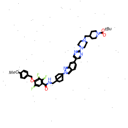 COc1ccc(COc2c(F)cc(C(=O)NCC34CCC(n5cc6ccc(-c7cnc(N8CCN(CC9CCN(C(=O)OC(C)(C)C)CC9)CC8)nc7)cc6n5)(CC3)CC4)c(F)c2F)cc1